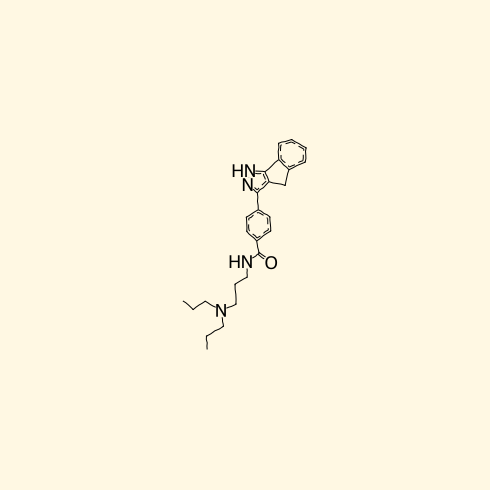 CCCN(CCC)CCCNC(=O)c1ccc(-c2n[nH]c3c2Cc2ccccc2-3)cc1